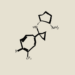 N[C@H]1CCC[C@H]1NC1(c2ccc(F)c(C(F)(F)F)c2)CC1